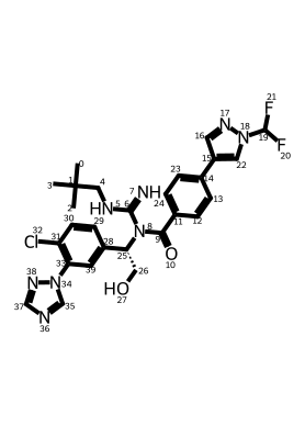 CC(C)(C)CNC(=N)N(C(=O)c1ccc(-c2cnn(C(F)F)c2)cc1)[C@H](CO)c1ccc(Cl)c(-n2cncn2)c1